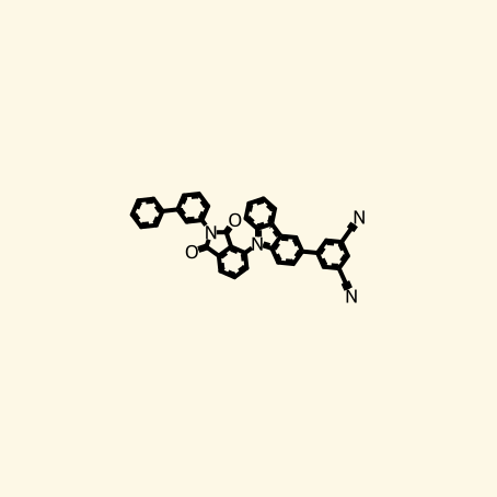 N#Cc1cc(C#N)cc(-c2ccc3c(c2)c2ccccc2n3-c2cccc3c2C(=O)N(c2cccc(-c4ccccc4)c2)C3=O)c1